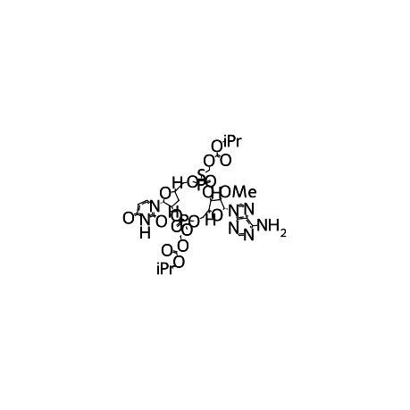 CO[C@@H]1[C@@H]2OP(=O)(SCOC(=O)OC(C)C)OC[C@@H]3C[C@@H](OP(=O)(OCOC(=O)OC(C)C)OC[C@H]2O[C@H]1n1cnc2c(N)ncnc21)[C@H](n1ccc(=O)[nH]c1=O)O3